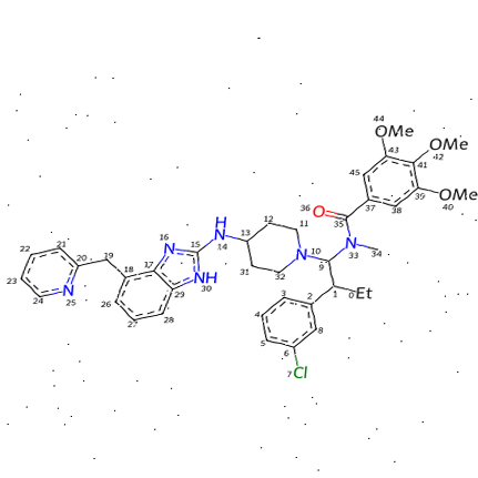 CCC(c1cccc(Cl)c1)C(N1CCC(Nc2nc3c(Cc4ccccn4)cccc3[nH]2)CC1)N(C)C(=O)c1cc(OC)c(OC)c(OC)c1